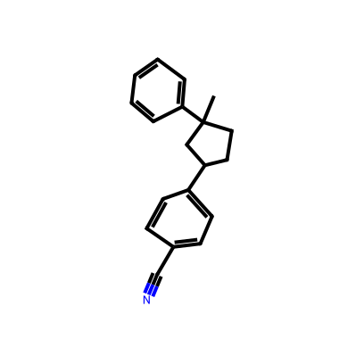 CC1(c2ccccc2)CCC(c2ccc(C#N)cc2)C1